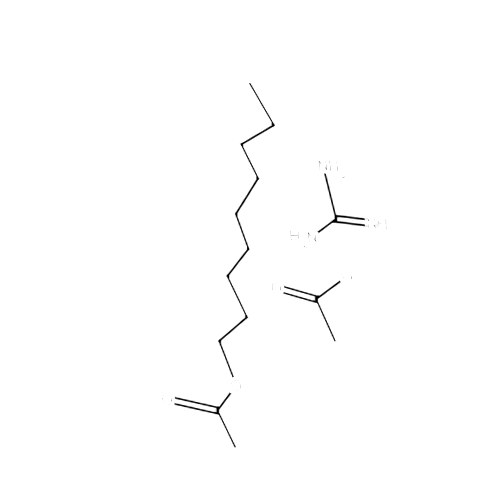 CC([O])=O.CCCCCCCCCOC(C)=O.N=C(N)N